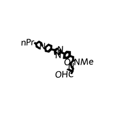 CCCC1CCN(C2CC=C(c3cnc(-c4ccc(CC(NC)C(=O)N5CC(C=O)C5)cc4)nc3)CC2)CC1